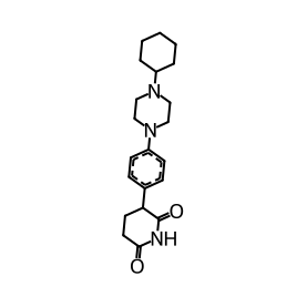 O=C1CCC(c2ccc(N3CCN(C4CCCCC4)CC3)cc2)C(=O)N1